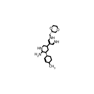 CC1C=C[C@@H](C2CC(/C(C=N)=C/NC[C@H]3COCCO3)CNC2N)CC1